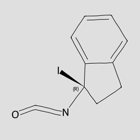 O=C=N[C@@]1(I)CCc2ccccc21